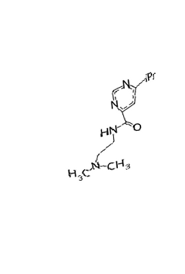 CC(C)c1cc(C(=O)NCCN(C)C)ncn1